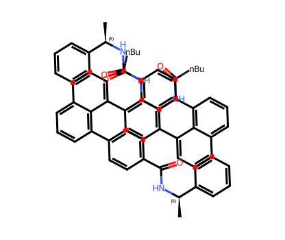 CCCCC(=O)Nc1c(-c2cccc3cccc(-c4ccc(C(=O)N[C@H](C)c5ccccc5)cc4)c23)ccc(-c2cccc3cccc(-c4ccc(C(=O)N[C@H](C)c5ccccc5)cc4)c23)c1NC(=O)CCCC